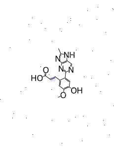 COc1cc(/C=C/C(=O)O)c(-c2ncc3[nH]c(C)nc3n2)cc1O